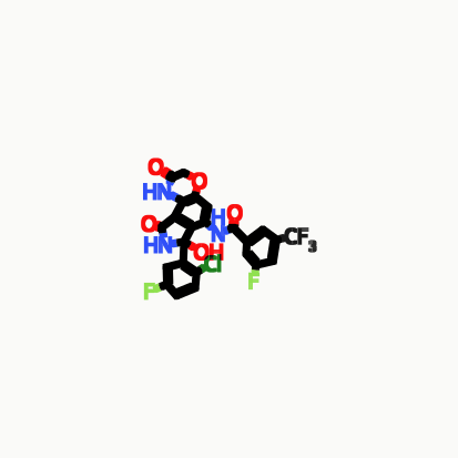 O=C1COc2cc(NC(=O)c3cc(F)cc(C(F)(F)F)c3)c3c(c2N1)C(=O)NC3(O)c1cc(F)ccc1Cl